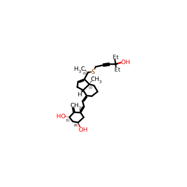 C=C1C(=CC=C2CCC[C@]3(C)C([C@H](C)SCC#CC(O)(CC)CC)=CC[C@@H]23)C[C@@H](O)C[C@@H]1O